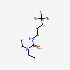 CCN(CC)C(=O)NCCCC(C)(C)C